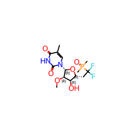 CO[C@@H]1[C@H](O)[C@@H](CC(F)(F)P(C)(C)=O)O[C@H]1n1cc(C)c(=O)[nH]c1=O